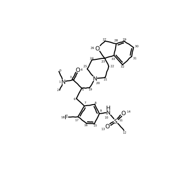 CN(C)C(=O)C(Cc1cc(NS(C)(=O)=O)ccc1F)CN1CCC2(CC1)OCc1ccccc12